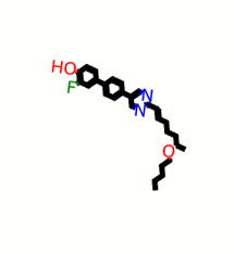 CCCCCOC(C)CCCC=Cc1ncc(-c2ccc(-c3ccc(O)c(F)c3)cc2)cn1